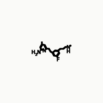 CNCCCc1cc(F)cc(CCc2cc(C)cc(N)n2)c1